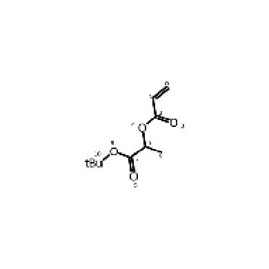 C=CC(=O)OC(C)C(=O)OC(C)(C)C